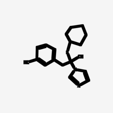 N#Cc1cccc(CC(C#N)(SC2CCCCC2)n2ccnc2)c1